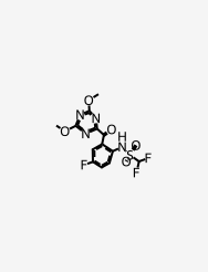 COc1nc(OC)nc(C(=O)c2cc(F)ccc2NS(=O)(=O)C(F)F)n1